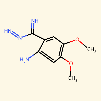 COc1cc(N)c(C(=N)N=N)cc1OC